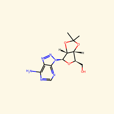 CC1(C)O[C@@H]2[C@H](O1)[C@@H](CO)O[C@H]2n1nnc2c(N)ncnc21